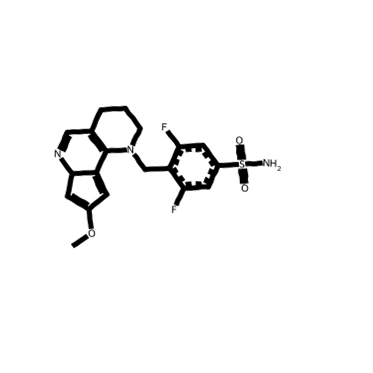 COC1=CC2N=CC3=C(C2=C1)N(Cc1c(F)cc(S(N)(=O)=O)cc1F)CCC3